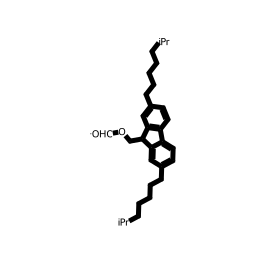 CC(C)CCCCCc1ccc2c(c1)C(CO[C]=O)c1cc(CCCCCC(C)C)ccc1-2